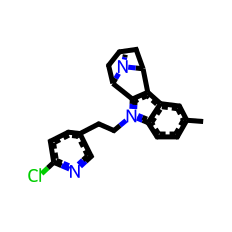 Cc1ccc2c(c1)c1c(n2CCc2ccc(Cl)nc2)C2CCCC1N2C